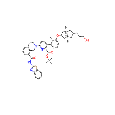 Cc1c(OC2C[C@H]3CC(CCCO)C[C@H]3C2)cccc1-c1ccc(N2CCc3cccc(C(=O)Nc4nc5ccccc5s4)c3C2)nc1C(=O)OC(C)(C)C